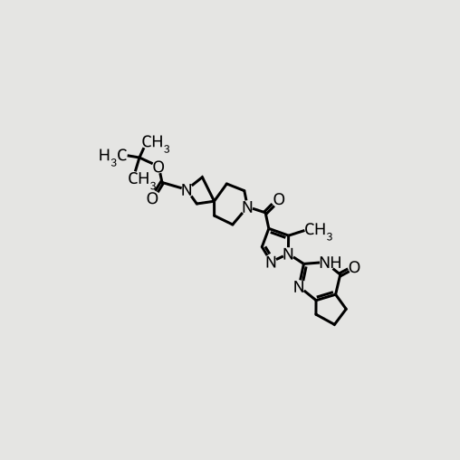 Cc1c(C(=O)N2CCC3(CC2)CN(C(=O)OC(C)(C)C)C3)cnn1-c1nc2c(c(=O)[nH]1)CCC2